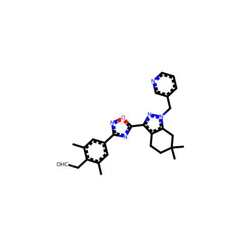 Cc1cc(-c2noc(-c3nn(Cc4cccnc4)c4c3CCC(C)(C)C4)n2)cc(C)c1CC=O